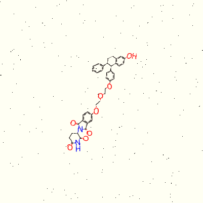 O=C1CCC(N2C(=O)c3ccc(OCCOCCOc4ccc([C@@H]5c6ccc(O)cc6CC[C@@H]5c5ccccc5)cc4)cc3C2=O)C(=O)N1